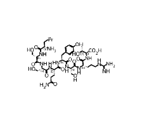 CC(C)C[C@H](N)C(=O)N[C@@H](CO)C(=O)N[C@@H](CO)C(=O)N[C@@H](CCC(N)=O)C(=O)N[C@@H](Cc1ccc(O)cc1)C(=O)N[C@@H](CO)C(=O)N[C@@H](CCCNC(=N)N)C(=O)N[C@H](C(=O)O)[C@@H](C)O